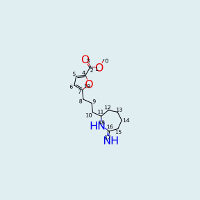 COC(=O)c1ccc(CCCC2CCCCC(=N)N2)o1